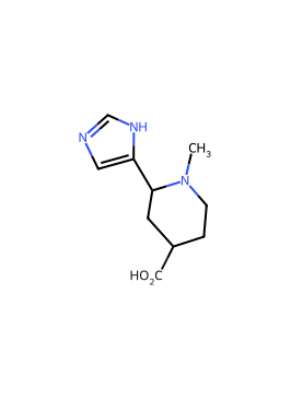 CN1CCC(C(=O)O)CC1c1cnc[nH]1